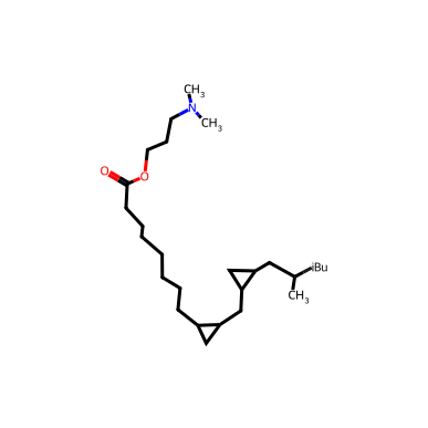 CCC(C)C(C)CC1CC1CC1CC1CCCCCCCC(=O)OCCCN(C)C